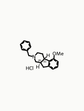 COc1cccc2c1[C@H]1CCN(Cc3ccccc3)C[C@@H]1C2.Cl